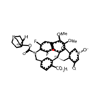 COc1ccc([C@H](Cc2c(Cl)c[n+]([O-])cc2Cl)c2cc(CN(C(=O)O[C@H]3CN4CCC3CC4)c3c(F)cccc3F)ccc2C(=O)O)cc1OC